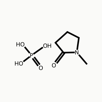 CN1CCCC1=O.O=P(O)(O)O